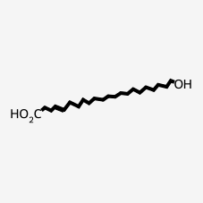 O=C(O)CCC=CCCCCCCCCCCCCCCCCCO